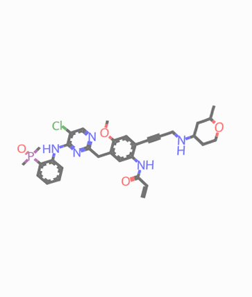 C=CC(=O)Nc1cc(Cc2ncc(Cl)c(Nc3ccccc3P(C)(C)=O)n2)c(OC)cc1C#CCNC1CCOC(C)C1